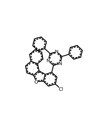 Clc1cc(-c2nc(-c3ccccc3)nc(-c3ccccc3)n2)c2c(c1)oc1ccc3ccccc3c12